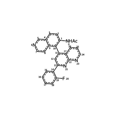 CC(=O)Nc1ccc2cnccc2c1-c1cc(-c2ccccc2F)nc2ncccc12